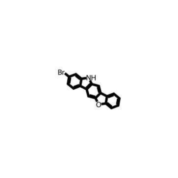 Brc1ccc2c(c1)[nH]c1cc3c(cc12)oc1ccccc13